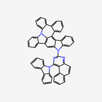 c1ccc2c(c1)-c1ccccc1-n1c3ccccc3c3cc4c(c-2c31)c1ccccc1n4-c1nc(-n2c3ccccc3c3ccccc32)c2c(ccc3ccccc32)n1